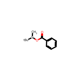 C[Si](OC(=O)c1ccccc1)C(C)(C)C